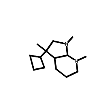 CN1CCCC2C1N(C)CC2(C)C1CCC1